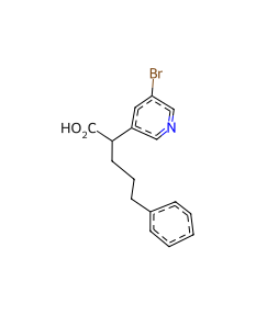 O=C(O)C(CCCc1ccccc1)c1cncc(Br)c1